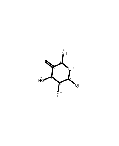 C=C1C(S)OC(O)C(O)C1O